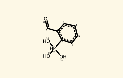 O=Cc1ccccc1[PH](O)(O)O